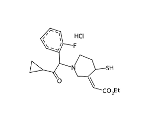 CCOC(=O)/C=C1/CN(C(C(=O)C2CC2)c2ccccc2F)CCC1S.Cl